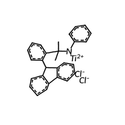 CC(C)(c1ccccc1C1c2ccccc2-c2ccccc21)[N]([Ti+2])c1ccccc1.[Cl-].[Cl-]